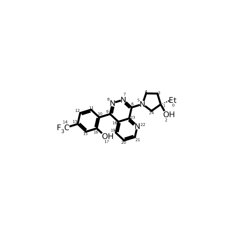 CC[C@@]1(O)CCN(c2nnc(-c3ccc(C(F)(F)F)cc3O)c3cccnc23)C1